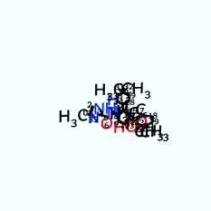 Cc1c[nH]c(C(=O)Nc2ccc([C@@]3(O)[C@H](C)C4(C)C=C[C@@](C)(O4)[C@@H]3C)cc2C2=CCC(C)(C)CC2)n1